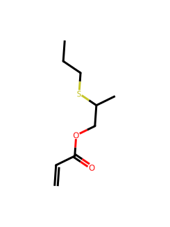 C=CC(=O)OCC(C)SCCC